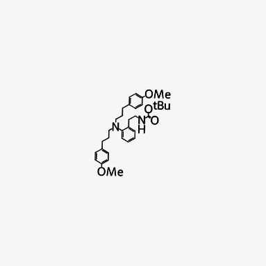 COc1ccc(CCCN(CCCc2ccc(OC)cc2)c2ccccc2CCNC(=O)OC(C)(C)C)cc1